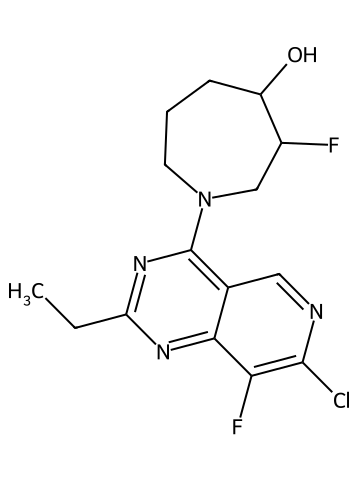 CCc1nc(N2CCCC(O)C(F)C2)c2cnc(Cl)c(F)c2n1